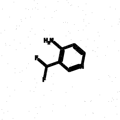 Nc1ccncc1C(F)F